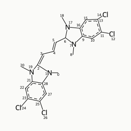 CN1C(=C/C=C/C2N(C)c3cc(Cl)c(Cl)cc3N2C)N(C)c2cc(Cl)c(Cl)cc21